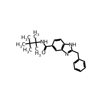 CC(C)(C)C(C)(C)NC(=O)c1ccc2[nH]c(Cc3ccccc3)nc2c1